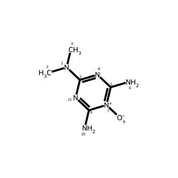 CN(C)c1nc(N)[n+]([O-])c(N)n1